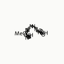 COc1cc2nn(C3CCC(CN4CCN(CC5CCN(c6ccc7c(c6)C(=O)N(C6CCC(=O)NC6=O)C7)CC5)CC4)CC3)cc2cc1C(=O)Nc1cnc2cccnn12